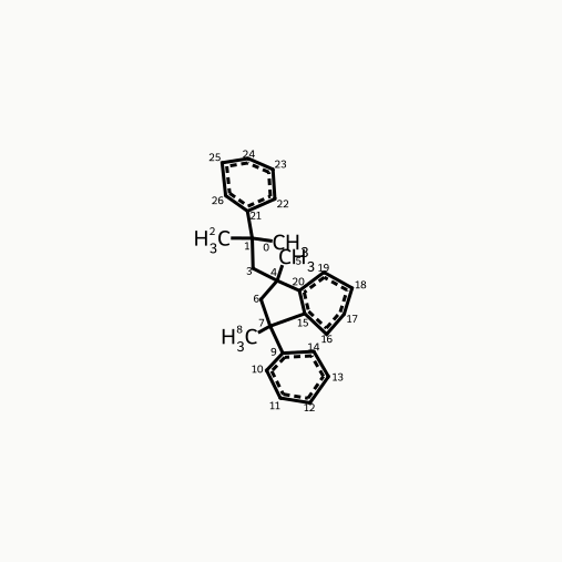 CC(C)(CC1(C)CC(C)(c2ccccc2)c2ccccc21)c1ccccc1